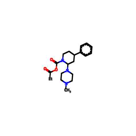 CCC(=O)OC(=O)N1CCC(c2ccccc2)CC1N1CCN(C)CC1